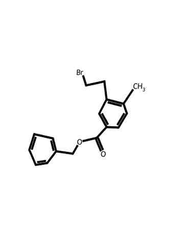 Cc1ccc(C(=O)OCc2ccccc2)cc1CCBr